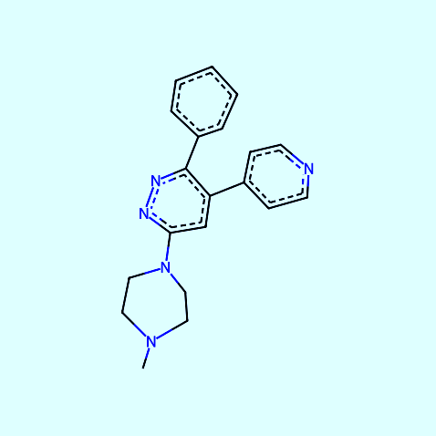 CN1CCN(c2cc(-c3ccncc3)c(-c3ccccc3)nn2)CC1